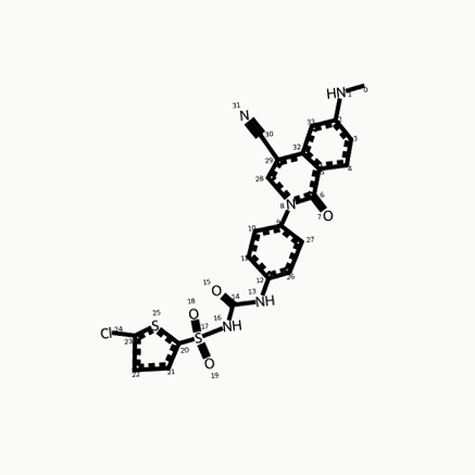 CNc1ccc2c(=O)n(-c3ccc(NC(=O)NS(=O)(=O)c4ccc(Cl)s4)cc3)cc(C#N)c2c1